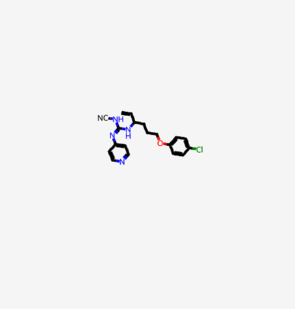 C=CC(CCCOc1ccc(Cl)cc1)N/C(=N\c1ccncc1)NC#N